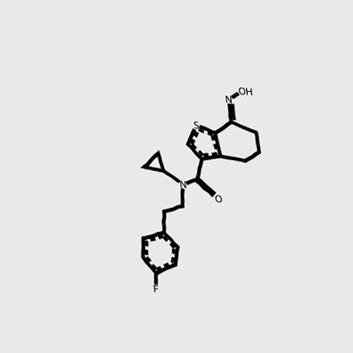 O=C(c1csc2c1CCCC2=NO)N(CCc1ccc(F)cc1)C1CC1